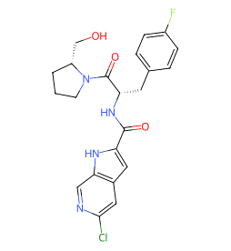 O=C(N[C@@H](Cc1ccc(F)cc1)C(=O)N1CCC[C@@H]1CO)c1cc2cc(Cl)ncc2[nH]1